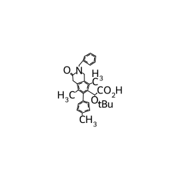 Cc1ccc(-c2c(C)c3c(c(C)c2[C@H](OC(C)(C)C)C(=O)O)CN(Cc2ccccc2)C(=O)C3)cc1